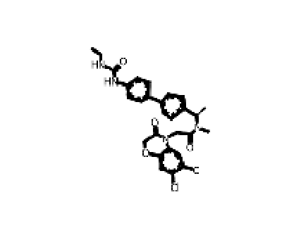 CCNC(=O)Nc1ccc(-c2ccc([C@@H](C)N(C)C(=O)CN3C(=O)COc4cc(Cl)c(Cl)cc43)cc2)cc1